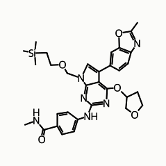 CNC(=O)c1ccc(Nc2nc(OC3CCOC3)c3c(-c4ccc5nc(C)oc5c4)cn(COCC[Si](C)(C)C)c3n2)cc1